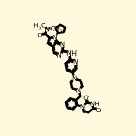 CN(C)C(=O)c1cc2cnc(Nc3ccc(N4CCN(Cc5ccccc5N5CCC(=O)NC5=O)CC4)cn3)nc2n1C1CCCC1